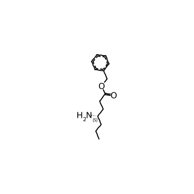 CCC[C@H](N)CCC(=O)OCc1ccccc1